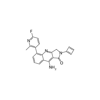 Cc1nc(F)ccc1-c1cccc2c(N)c3c(nc12)CN(C1=CC=C1)C3=O